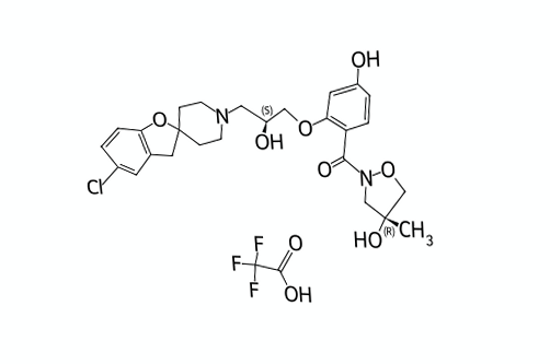 C[C@]1(O)CON(C(=O)c2ccc(O)cc2OC[C@@H](O)CN2CCC3(CC2)Cc2cc(Cl)ccc2O3)C1.O=C(O)C(F)(F)F